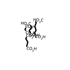 O=C(O)CC(=O)O.O=C(O)CCC(=O)O.O=C(O)CCCC(=O)O.O=C(O)CCCCC(=O)O